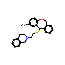 O=C(O)c1ccc2c(c1)C(SCCN1CCc3ccccc3C1)c1ccccc1CO2